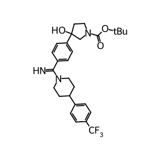 CC(C)(C)OC(=O)N1CCC(O)(c2ccc(C(=N)N3CCC(c4ccc(C(F)(F)F)cc4)CC3)cc2)C1